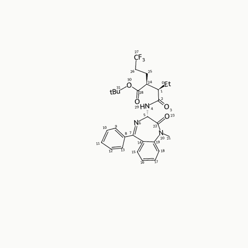 CC[C@@H](C(=O)N[C@H]1N=C(c2ccccc2)c2ccccc2N(C)C1=O)[C@H](CCC(F)(F)F)C(=O)OC(C)(C)C